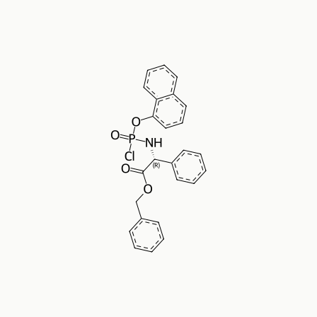 O=C(OCc1ccccc1)[C@H](NP(=O)(Cl)Oc1cccc2ccccc12)c1ccccc1